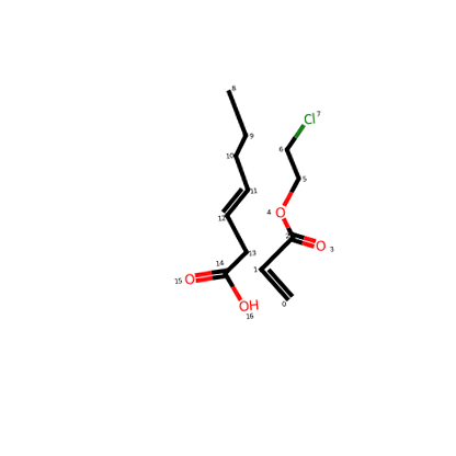 C=CC(=O)OCCCl.CCCC=CCC(=O)O